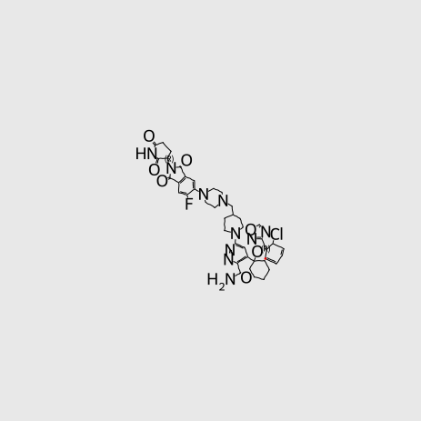 NC(=O)c1nnc(N2CCC(CN3CCN(c4cc5c(cc4F)C(=O)N([C@@H]4CCC(=O)NC4=O)C5=O)CC3)CC2)cc1C1(O[C@@]2(c3ncon3)C=CC=CC2Cl)CCCCC1